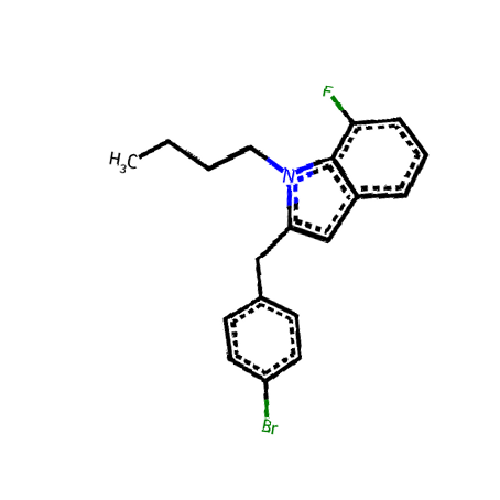 CCCCn1c(Cc2ccc(Br)cc2)cc2cccc(F)c21